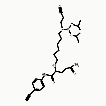 C#Cc1ccc(NC(=O)C(CCC(N)=O)NCCCCCCN(CCC#N)P(OC(C)C)OC(C)C)cc1